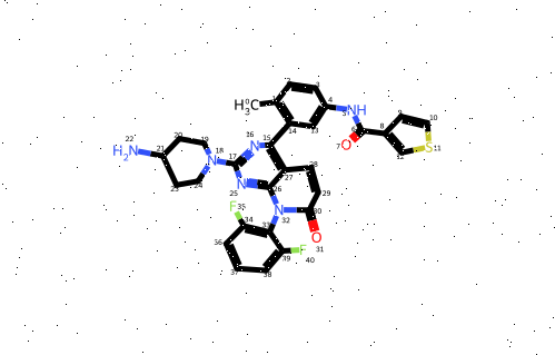 Cc1ccc(NC(=O)c2ccsc2)cc1-c1nc(N2CCC(N)CC2)nc2c1ccc(=O)n2-c1c(F)cccc1F